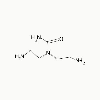 NCCN(CCN)C(N)=O